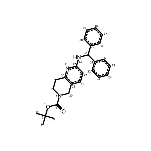 CC(C)(C)OC(=O)N1CCc2nc(NC(c3ccccc3)c3ccccc3)ccc2C1